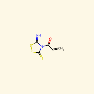 C=CC(=O)n1c(=N)ssc1=S